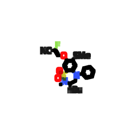 CCCCC1CN(c2ccccc2)c2cc(SC)c(O/C=C(\F)C#N)cc2S(=O)(=O)N1C